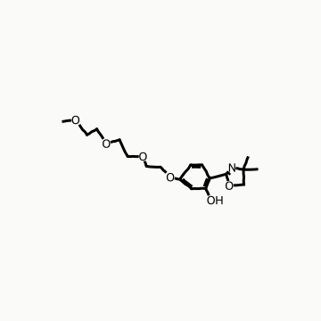 COCCOCCOCCOc1ccc(C2=NC(C)(C)CO2)c(O)c1